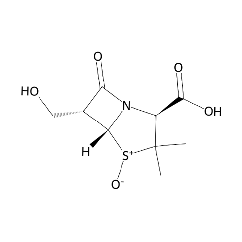 CC1(C)[C@H](C(=O)O)N2C(=O)[C@@H](CO)[C@H]2[S+]1[O-]